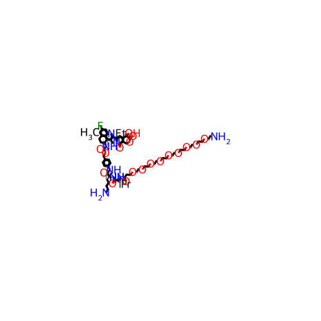 CC[C@@]1(O)C(=O)OCc2c1cc1n(c2=O)Cc2c-1nc1cc(F)c(C)c3c1c2[C@@H](NC(=O)OCc1ccc(NC(=O)[C@H](CCCCN)NC(=O)[C@@H](NC(=O)CCOCCOCCOCCOCCOCCOCCOCCOCCOCCN)C(C)C)cc1)CC3